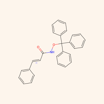 O=C(/C=C/c1ccccc1)NOC(c1ccccc1)(c1ccccc1)c1ccccc1